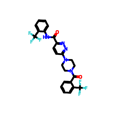 O=C(Nc1ccccc1C(F)(F)F)c1ccc(N2CCN(C(=O)c3ccccc3C(F)(F)F)CC2)nn1